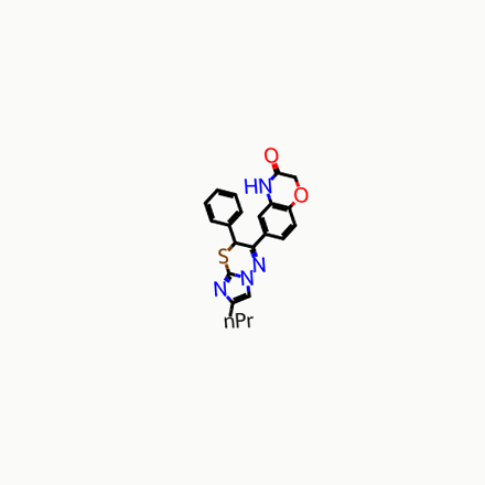 CCCc1cn2c(n1)SC(c1ccccc1)C(c1ccc3c(c1)NC(=O)CO3)=N2